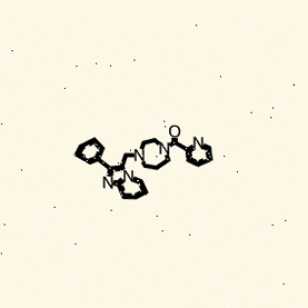 O=C(c1ccccn1)N1CCCN(Cc2c(-c3ccccc3)nc3ccccn23)CC1